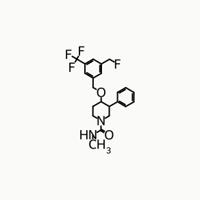 CNC(=O)N1CCC(OCc2cc(CF)cc(C(F)(F)F)c2)C(c2ccccc2)C1